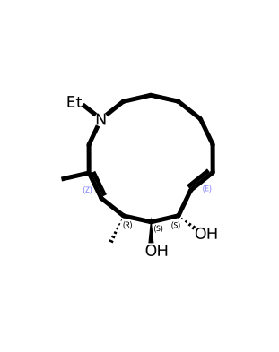 CCN1CCCCC/C=C/[C@H](O)[C@@H](O)[C@H](C)/C=C(/C)C1